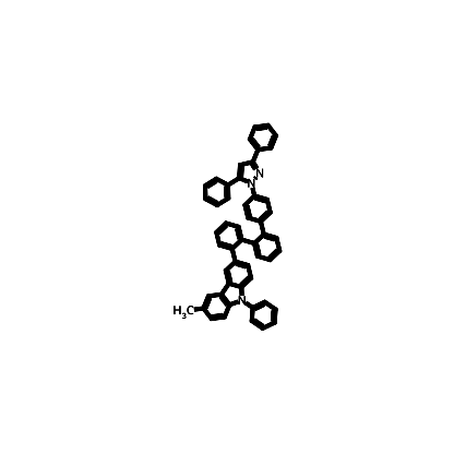 Cc1ccc2c(c1)c1cc(-c3ccccc3-c3ccccc3-c3ccc(-n4nc(-c5ccccc5)cc4-c4ccccc4)cc3)ccc1n2-c1ccccc1